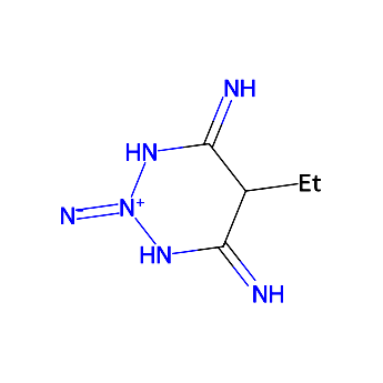 CCC1C(=N)N[N+](=[N-])NC1=N